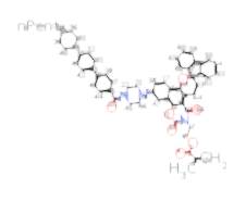 C=C(C)C(=O)OCCn1c(=O)oc2c(c3c(c4ccc(N5CCN(C(=O)c6ccc(-c7ccc([C@H]8CC[C@H](CCCCC)CC8)cc7)cc6)CC5)cc42)OC(c2ccccc2)(c2ccccc2)C=C3)c1=O